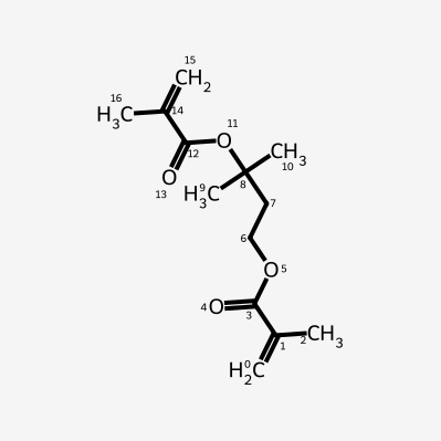 C=C(C)C(=O)OCCC(C)(C)OC(=O)C(=C)C